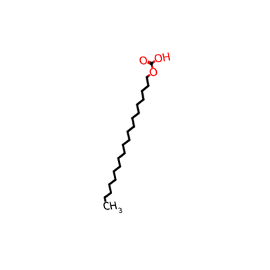 CCCCCCCCCCCCCCCCCCCCOC(=O)O